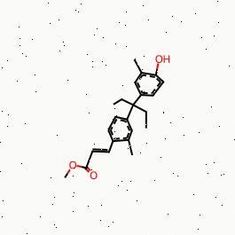 CCC(CC)(c1ccc(O)c(C)c1)c1ccc(C=CC(=O)OC)c(C)c1